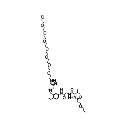 CCCOCCC(=O)NC(C(=O)NCC(=O)Nc1ccc(CC)c(CN(C)Cc2cn(CCOCCOCCOCCOCCOCCOCCOCCOC)nn2)c1)C(C)C